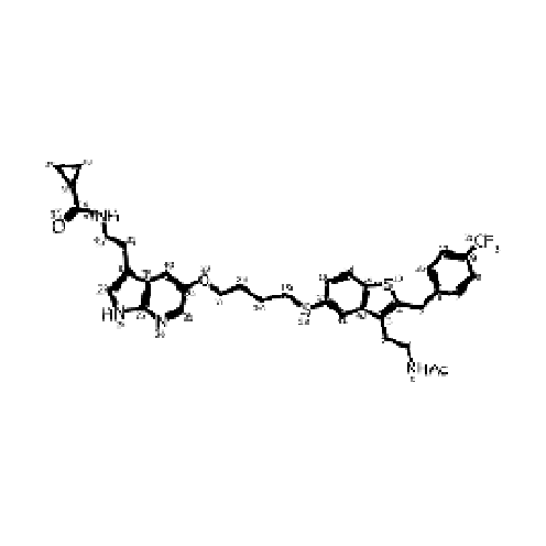 CC(=O)NCCc1c(Cc2ccc(C(F)(F)F)cc2)sc2ccc(SCCCCOc3cnc4[nH]cc(CCNC(=O)C5CC5)c4c3)cc12